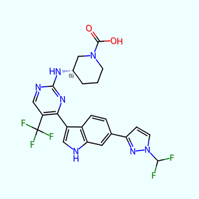 O=C(O)N1CCC[C@H](Nc2ncc(C(F)(F)F)c(-c3c[nH]c4cc(-c5ccn(C(F)F)n5)ccc34)n2)C1